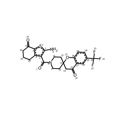 Nc1sc2c(c1C(=O)N1CCC3(CC1)CC(=O)c1cc(C(F)(F)F)ccc1O3)CCCC2=O